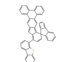 C1=CC2(C3=c4cc5c6ccccc6c6ccccc6c5cc4=CC3=C1c1cccc3c1sc1ccccc13)c1ccccc1-c1ccccc12